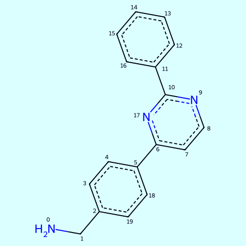 NCc1ccc(-c2ccnc(-c3ccccc3)n2)cc1